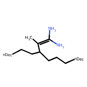 CCCCCCCCCCCCCC(CCCCCCCCCCCC)C(C)=C(N)N